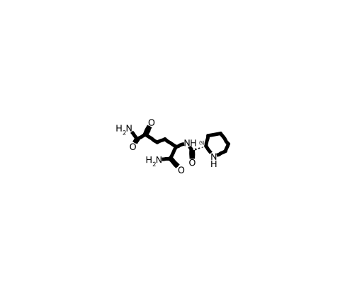 NC(=O)C(=O)CCC(NC(=O)[C@@H]1CCCCN1)C(N)=O